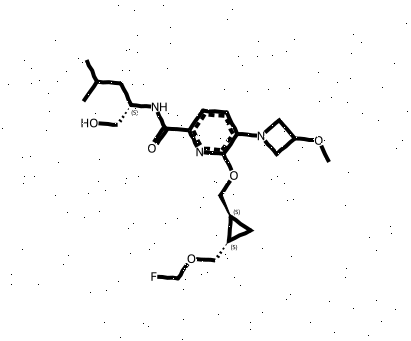 COC1CN(c2ccc(C(=O)N[C@H](CO)CC(C)C)nc2OC[C@H]2C[C@@H]2COCF)C1